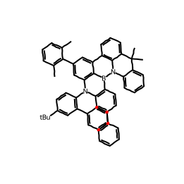 Cc1cccc(C)c1-c1cc2c3c(c1)N(c1ccc(C(C)(C)C)cc1-c1ccccc1)c1cc(-c4ccccc4)ccc1B3N1c3ccccc3C(C)(C)c3cccc-2c31